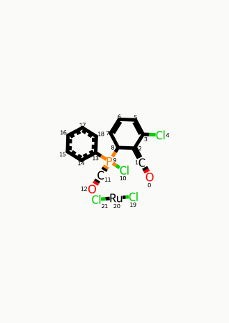 O=C=C1C(Cl)=CC=CC1P(Cl)(=C=O)c1ccccc1.[Cl][Ru][Cl]